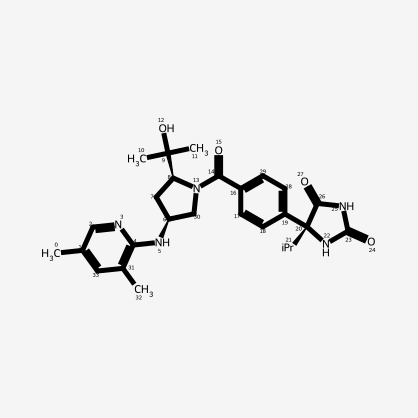 Cc1cnc(N[C@H]2C[C@@H](C(C)(C)O)N(C(=O)c3ccc([C@@]4(C(C)C)NC(=O)NC4=O)cc3)C2)c(C)c1